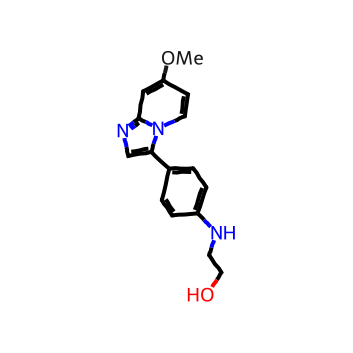 COc1ccn2c(-c3ccc(NCCO)cc3)cnc2c1